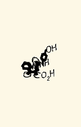 O=C(O)c1cn(C(=O)Nc2ccc(CO)cc2)c2ccccc2c1=O